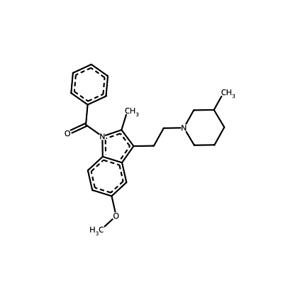 COc1ccc2c(c1)c(CCN1CCCC(C)C1)c(C)n2C(=O)c1ccccc1